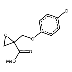 COC(=O)C1(COc2ccc(Cl)cc2)CO1